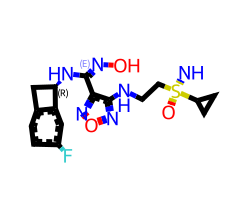 N=S(=O)(CCNc1nonc1/C(=N\O)N[C@@H]1Cc2ccc(F)cc21)C1CC1